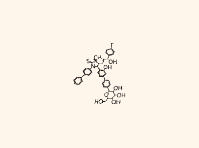 CN1C(=S)N(c2ccc(-c3ccccc3)cc2)C(c2ccc(-c3ccc(C4OC(CO)C(O)C(O)C4O)cc3)cc2O)C1CCC(O)c1ccc(F)cc1